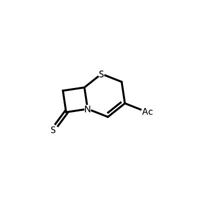 CC(=O)C1=CN2C(=S)CC2SC1